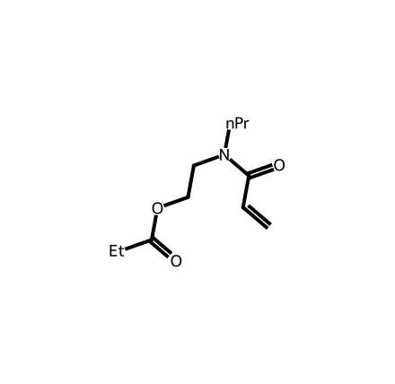 C=CC(=O)N(CCC)CCOC(=O)CC